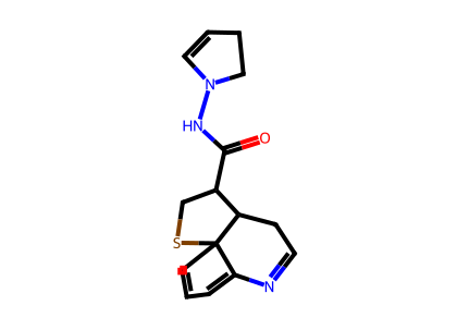 O=C(NN1C=CCC1)C1CSC23CC=CC=C2N=CCC13